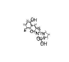 O=C1N=C(N2CCC[C@H]2C(=O)O)SC1=Cc1cc(F)ccc1O